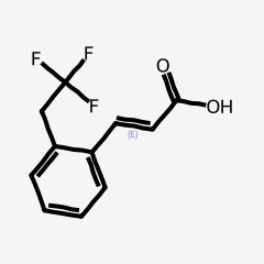 O=C(O)/C=C/c1ccccc1CC(F)(F)F